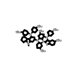 Cn1c2ccccc2c2c(N(c3ccc(C(C)(C)C)cc3)c3ccc(C(C)(C)C)cc3)cc(N3c4ccc(C(C)(C)C)cc4B4c5sc6ccc(C(C)(C)C)cc6c5N(c5ccc(C(C)(C)C)cc5)c5cc(C(C)(C)C)cc3c54)cc21